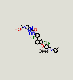 COc1cc(OC2CCc3c(-c4cccc(NC(=O)c5nc6c(n5C)CCN(C(C)CO)C6)c4Cl)cccc32)c(Cl)c(F)c1CNc1cccc(C)c1